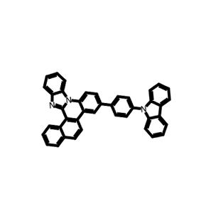 c1ccc2c(c1)ccc1c3cc(-c4ccc(-n5c6ccccc6c6ccccc65)cc4)ccc3n3c4ccccc4nc3c21